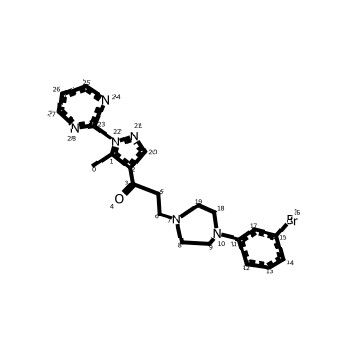 Cc1c(C(=O)CCN2CCN(c3cccc(Br)c3)CC2)cnn1-c1ncccn1